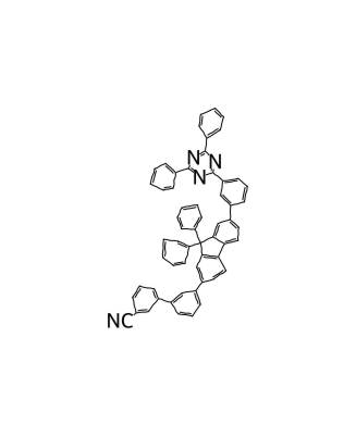 N#Cc1cccc(-c2cccc(-c3ccc4c(c3)C(c3ccccc3)(c3ccccc3)c3cc(-c5cccc(-c6nc(-c7ccccc7)nc(-c7ccccc7)n6)c5)ccc3-4)c2)c1